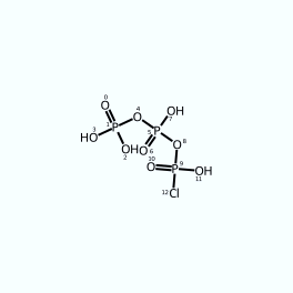 O=P(O)(O)OP(=O)(O)OP(=O)(O)Cl